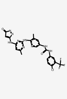 Cc1cc(NC2=CC(=O)N=N2)nc(Nc2ncc(NC(=O)Nc3ccc(Cl)c(C(F)(F)F)c3)cc2C)n1